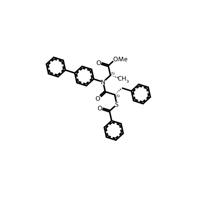 COC(=O)[C@H](C)N(C(=O)[C@H](Cc1ccccc1)SC(=O)c1ccccc1)c1ccc(-c2ccccc2)cc1